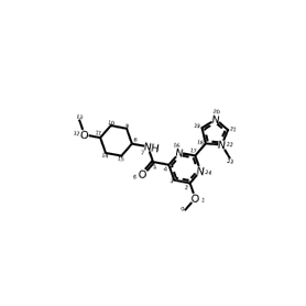 COc1cc(C(=O)NC2CCC(OC)CC2)nc(-c2cncn2C)n1